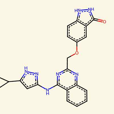 O=c1[nH][nH]c2ccc(OCc3nc(Nc4cc(C5CC5)[nH]n4)c4ccccc4n3)cc12